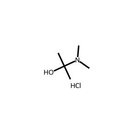 CN(C)C(C)(C)O.Cl